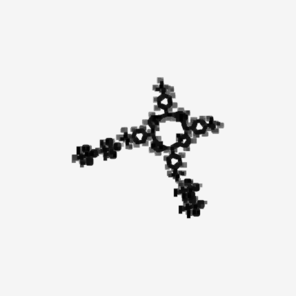 C[N+](C)(C)c1ccc(-c2c3nc(c(-c4ccc([N+](C)(C)C)cc4)c4ccc([nH]4)c(-c4ccc([N+](C)(C)C)cc4)c4nc(c(-c5ccc([N+](C)(C)C)cc5)c5ccc2[nH]5)C=C4)C=C3)cc1.O=S(=O)([O-])C(F)(F)F.O=S(=O)([O-])C(F)(F)F.O=S(=O)([O-])C(F)(F)F.O=S(=O)([O-])C(F)(F)F